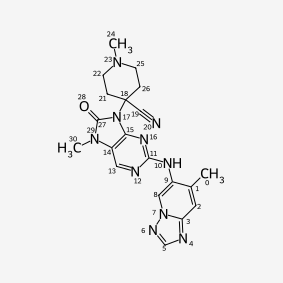 Cc1cc2ncnn2cc1Nc1ncc2c(n1)n(C1(C#N)CCN(C)CC1)c(=O)n2C